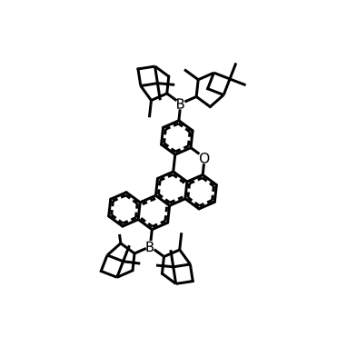 CC1C(B(c2ccc3c(c2)Oc2cccc4c2c-3cc2c3ccccc3c(B(C3CC5CC(C3C)C5(C)C)C3CC5CC(C3C)C5(C)C)cc42)C2CC3CC(C2C)C3(C)C)CC2CC1C2(C)C